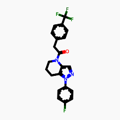 O=C(Cc1ccc(C(F)(F)F)cc1)N1CCCc2c1cnn2-c1ccc(F)cc1